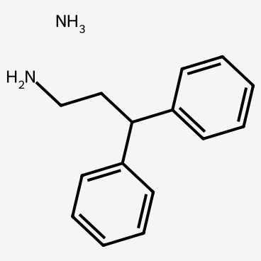 N.NCCC(c1ccccc1)c1ccccc1